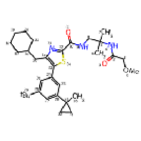 COCC(=O)NC(C)(C)CNC(=O)c1nc(CC2CCCCC2)c(-c2cc(C(C)(C)C)cc(C3(C)CC3)c2)s1